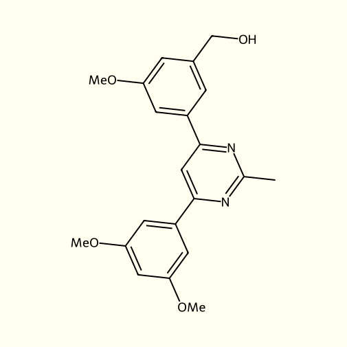 COc1cc(CO)cc(-c2cc(-c3cc(OC)cc(OC)c3)nc(C)n2)c1